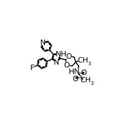 CC1(CNS(C)(=O)=O)COC(c2nc(-c3ccc(F)cc3)c(-c3ccncc3)[nH]2)OC1